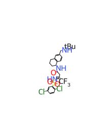 CC(C)(C)NCc1ccc2c(c1)CCCC2NC(=O)C[C@@H](NS(=O)(=O)c1cc(Cl)ccc1Cl)C(F)(F)F